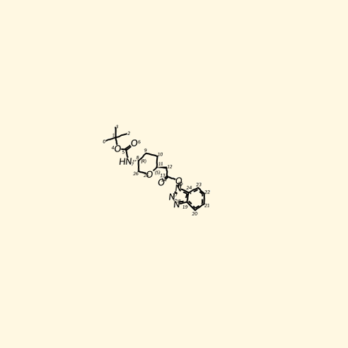 CC(C)(C)OC(=O)N[C@@H]1CC[C@@H](CC(=O)On2nnc3ccccc32)OC1